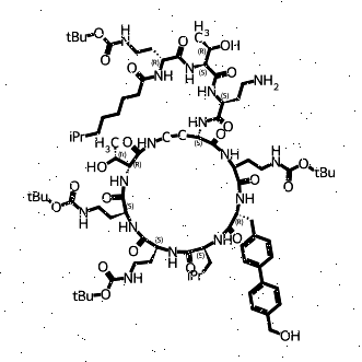 CC(C)CCCCCC(=O)N[C@H](CCNC(=O)OC(C)(C)C)C(=O)N[C@H](C(=O)N[C@@H](CCN)C(=O)N[C@H]1CCNC(=O)[C@@H]([C@@H](C)O)NC(=O)[C@H](CCNC(=O)OC(C)(C)C)NC(=O)[C@H](CCNC(=O)OC(C)(C)C)NC(=O)[C@H](CC(C)C)NC(=O)[C@@H](Cc2ccc(-c3ccc(CO)cc3)cc2)NC(=O)C(CCNC(=O)OC(C)(C)C)NC1=O)[C@@H](C)O